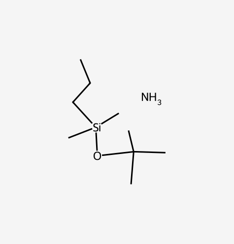 CCC[Si](C)(C)OC(C)(C)C.N